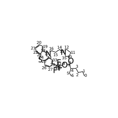 CCCCC(CC)C(=O)OC1CCN(CCCN2c3ccccc3Sc3ccc(C(F)(F)F)cc32)C1